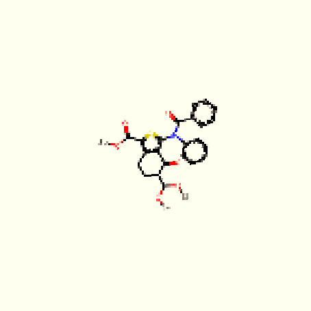 CCOC(OCC)C1CCc2c(C(=O)OC(C)(C)C)sc(N(C(=O)c3ccccc3)c3ccccc3)c2C1=O